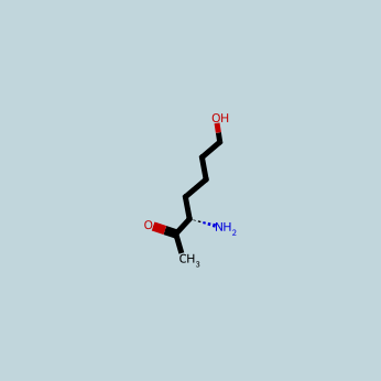 CC(=O)[C@@H](N)CCCCO